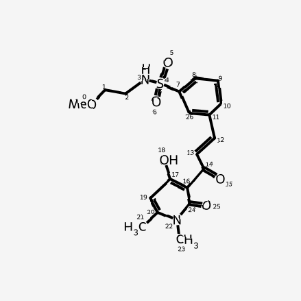 COCCNS(=O)(=O)c1cccc(C=CC(=O)c2c(O)cc(C)n(C)c2=O)c1